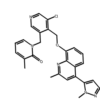 Cc1cc(-c2ccnn2C)c2cccc(OCc3c(Cl)cncc3Cn3cccc(C)c3=O)c2n1